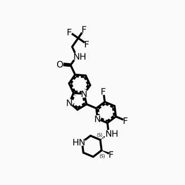 O=C(NCC(F)(F)F)c1ccn2c(-c3nc(N[C@H]4CNCC[C@@H]4F)c(F)cc3F)cnc2c1